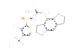 CC(C)(O)c1csc([S@@](N)(=O)=NC(=O)Nc2c3c(cc4c2CCC4)CCC3)c1F